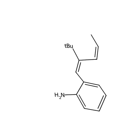 C/C=C\C(=C/c1ccccc1N)C(C)(C)C